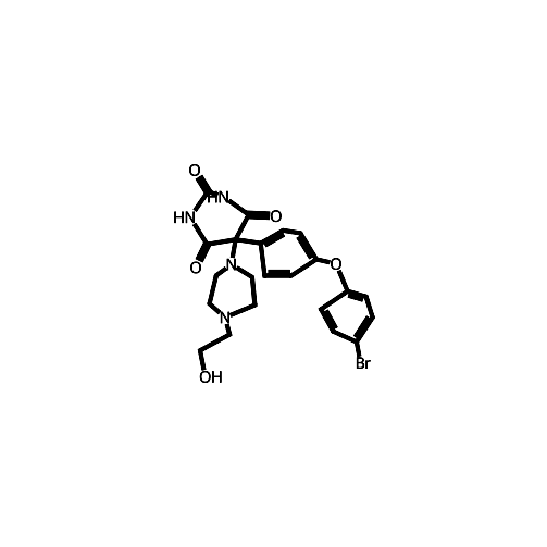 O=C1NC(=O)C(c2ccc(Oc3ccc(Br)cc3)cc2)(N2CCN(CCO)CC2)C(=O)N1